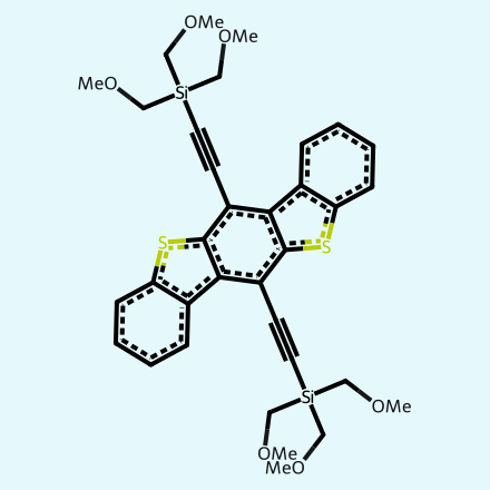 COC[Si](C#Cc1c2sc3ccccc3c2c(C#C[Si](COC)(COC)COC)c2sc3ccccc3c12)(COC)COC